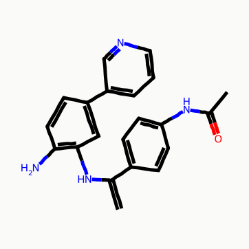 C=C(Nc1cc(-c2cccnc2)ccc1N)c1ccc(NC(C)=O)cc1